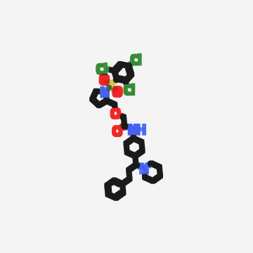 O=C(COCC1CCCN1S(=O)(=O)c1c(Cl)cc(Cl)cc1Cl)NC1CCC(C(CCc2ccccc2)N2CCCCC2)CC1